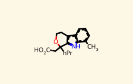 CCCC1(CC(=O)O)OCCc2c1[nH]c1c(C)cccc21